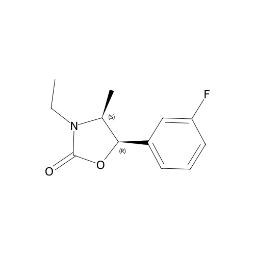 CCN1C(=O)O[C@H](c2cccc(F)c2)[C@@H]1C